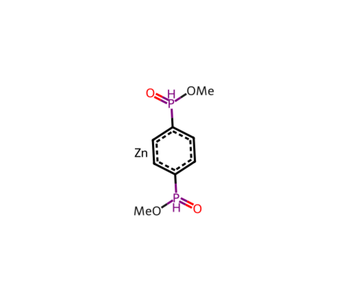 CO[PH](=O)c1ccc([PH](=O)OC)cc1.[Zn]